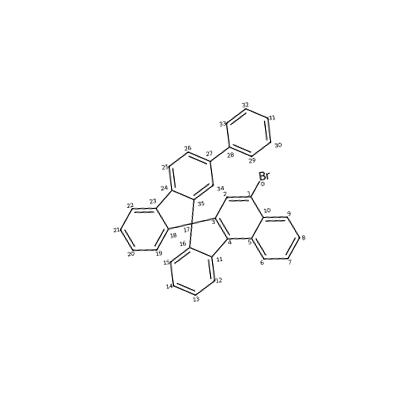 Brc1cc2c(c3ccccc13)-c1ccccc1C21c2ccccc2-c2ccc(-c3ccccc3)cc21